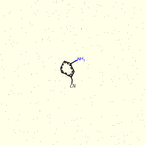 N#Cc1cc[c]c(N)c1